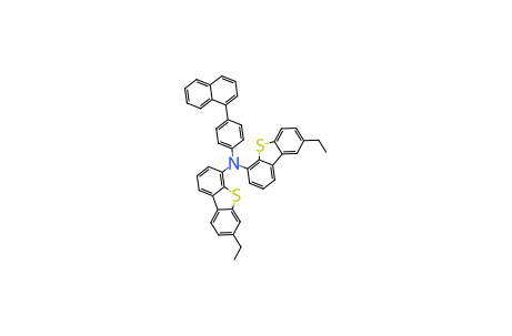 CCc1ccc2c(c1)sc1c(N(c3ccc(-c4cccc5ccccc45)cc3)c3cccc4c3sc3ccc(CC)cc34)cccc12